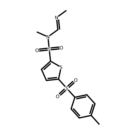 CN=CN(C)S(=O)(=O)c1ccc(S(=O)(=O)c2ccc(C)cc2)s1